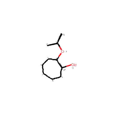 CC(C)OC1CCCCCC1O